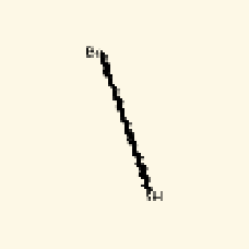 SCCCCCCCCCCCCCCCCCCCCCCCCCBr